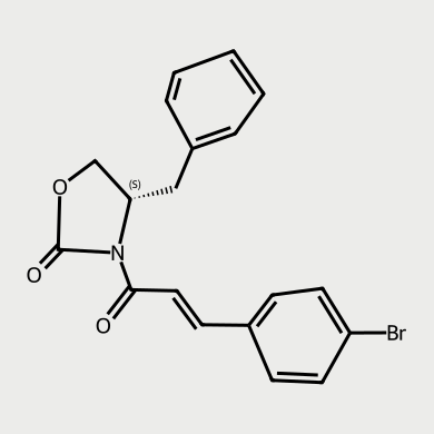 O=C(C=Cc1ccc(Br)cc1)N1C(=O)OC[C@@H]1Cc1ccccc1